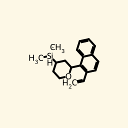 C=Cc1ccc2ccccc2c1C1CC([SiH](C)C)CCO1